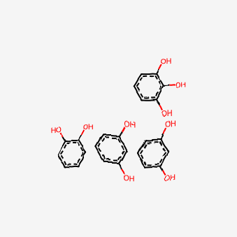 Oc1cccc(O)c1.Oc1cccc(O)c1.Oc1cccc(O)c1O.Oc1ccccc1O